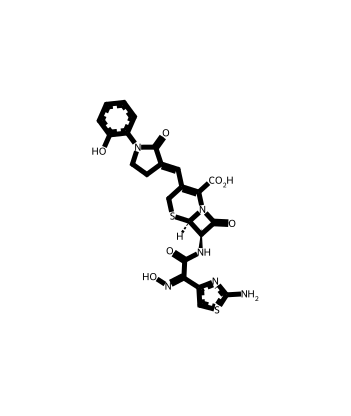 Nc1nc(/C(=N/O)C(=O)N[C@@H]2C(=O)N3C(C(=O)O)=C(/C=C4\CCN(c5ccccc5O)C4=O)CS[C@H]23)cs1